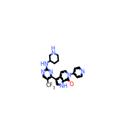 O=c1c2[nH]cc(-c3nc(NC4CCCNC4)ncc3C(F)(F)F)c2ccn1-c1ccncc1